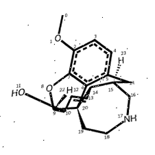 COc1ccc2c3c1O[C@H]1C(O)C=CC4[C@H](CNCC[C@@]341)C2